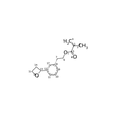 C=C(C)C(=O)OCCc1cccc(C2CCO2)c1